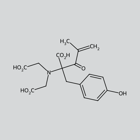 C=C(C)C(=O)C(Cc1ccc(O)cc1)(C(=O)O)N(CC(=O)O)CC(=O)O